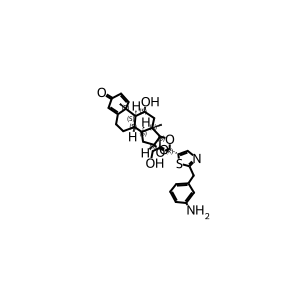 C[C@]12C=CC(=O)C=C1CC[C@@H]1[C@@H]2[C@@H](O)C[C@@]2(C)[C@H]1C[C@H]1O[C@@H](c3cnc(Cc4cccc(N)c4)s3)O[C@]12C(=O)CO